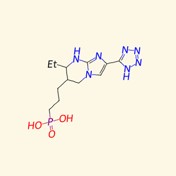 CCC1Nc2nc(-c3nnn[nH]3)cn2CC1CCCP(=O)(O)O